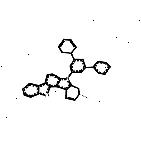 C[C@@H]1C=Cc2c(n(-c3cc(-c4ccccc4)cc(C4C=CC=CC4)c3)c3ccc4c5ccccc5oc4c23)C1